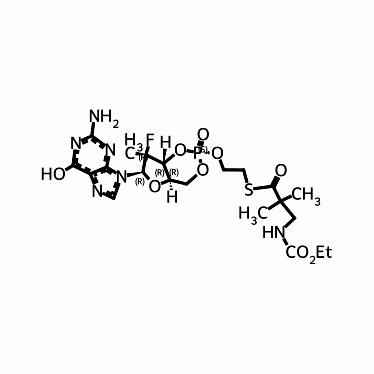 CCOC(=O)NCC(C)(C)C(=O)SCCO[P@]1(=O)OC[C@H]2O[C@@H](n3cnc4c(O)nc(N)nc43)[C@](C)(F)[C@@H]2O1